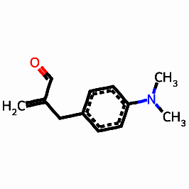 C=C(C=O)Cc1ccc(N(C)C)cc1